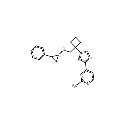 FC(F)(F)c1cc(-c2nc(C3(CN[C@H]4CC4c4ccccc4)CCC3)no2)ccn1